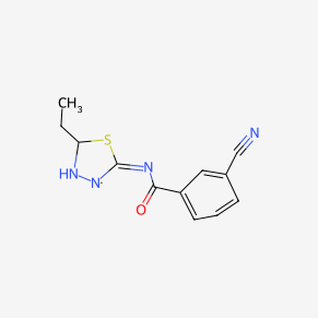 CCC1N[N]C(=NC(=O)c2cccc(C#N)c2)S1